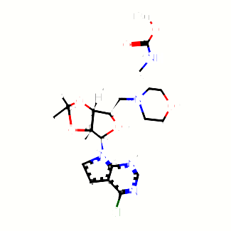 CC(C)(C)OC(=O)NC[C@@H]1COCCN1C[C@H]1O[C@@H](n2ccc3c(Cl)ncnc32)[C@@H]2OC(C)(C)O[C@@H]21